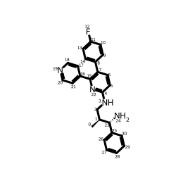 C[C@@H](CNc1ccc(-c2ccc(F)cc2)c(-c2ccncc2)n1)[C@H](N)c1ccccc1